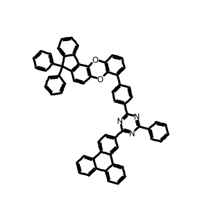 c1ccc(-c2nc(-c3ccc(-c4cccc5c4Oc4ccc6c(c4O5)-c4ccccc4C6(c4ccccc4)c4ccccc4)cc3)nc(-c3ccc4c5ccccc5c5ccccc5c4c3)n2)cc1